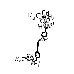 CN(C)CCN(C)C(=O)c1ccc(C#CCNc2ccc(C(=N)NC(=O)OC(C)(C)C)cc2)cc1